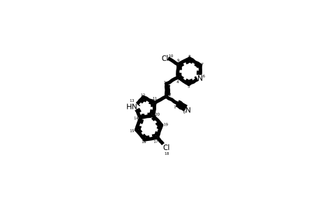 N#CC(=Cc1cnccc1Cl)c1c[nH]c2ccc(Cl)cc12